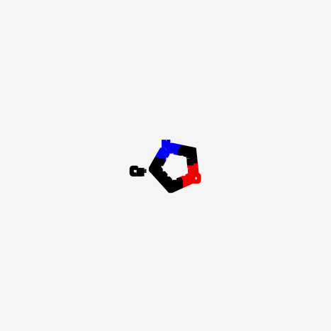 [Cu].c1cocn1